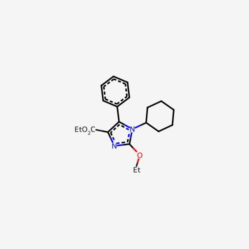 CCOC(=O)c1nc(OCC)n(C2CCCCC2)c1-c1ccccc1